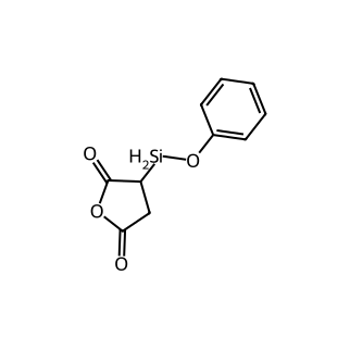 O=C1CC([SiH2]Oc2ccccc2)C(=O)O1